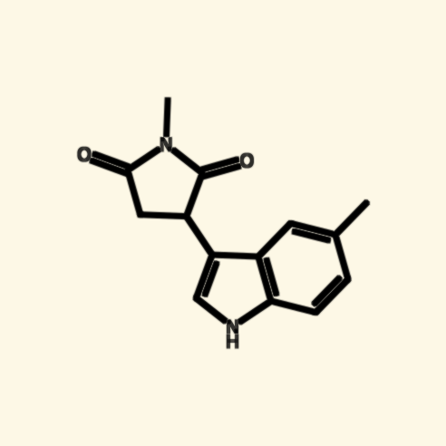 Cc1ccc2[nH]cc(C3CC(=O)N(C)C3=O)c2c1